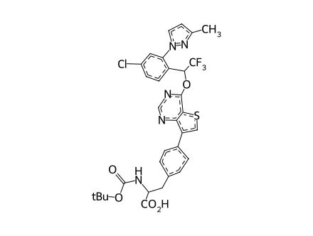 Cc1ccn(-c2cc(Cl)ccc2C(Oc2ncnc3c(-c4ccc(CC(NC(=O)OC(C)(C)C)C(=O)O)cc4)csc23)C(F)(F)F)n1